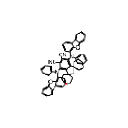 N#Cc1c(C#N)c(N(c2ccccc2)c2cccc3c2oc2ccccc23)c2c(c1N(c1ccccc1)c1cccc3c1oc1ccccc13)C1(CCCCC1)CC21CCCCC1